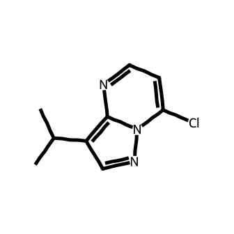 CC(C)c1cnn2c(Cl)ccnc12